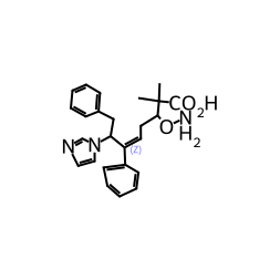 CC(C)(C(=O)O)C(C/C=C(/c1ccccc1)C(Cc1ccccc1)n1ccnc1)ON